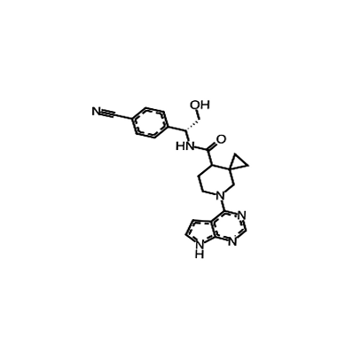 N#Cc1ccc([C@H](CO)NC(=O)C2CCN(c3ncnc4[nH]ccc34)CC23CC3)cc1